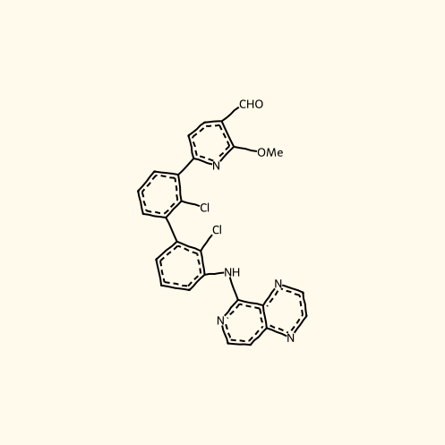 COc1nc(-c2cccc(-c3cccc(Nc4nccc5nccnc45)c3Cl)c2Cl)ccc1C=O